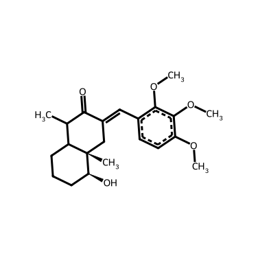 COc1ccc(/C=C2\C[C@@]3(C)C(CCC[C@@H]3O)C(C)C2=O)c(OC)c1OC